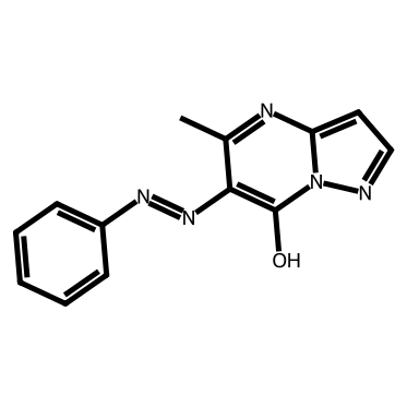 Cc1nc2ccnn2c(O)c1/N=N/c1ccccc1